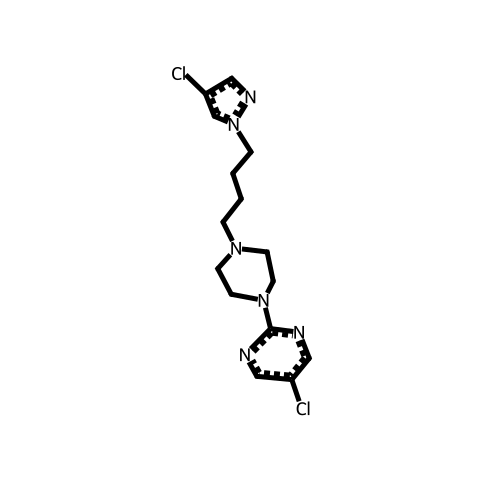 Clc1cnc(N2CCN(CCCCn3cc(Cl)cn3)CC2)nc1